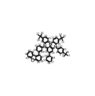 CC(C)(C)c1ccc(N2c3cc(C(C)(C)C)ccc3B3c4ccc(C(C)(C)C)cc4N(c4cccc(-c5cccc6oc7ccccc7c56)c4)c4cc(-c5ccccc5)cc2c43)cc1